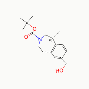 C[C@H]1CN(C(=O)OC(C)(C)C)CCc2cc(CO)ccc21